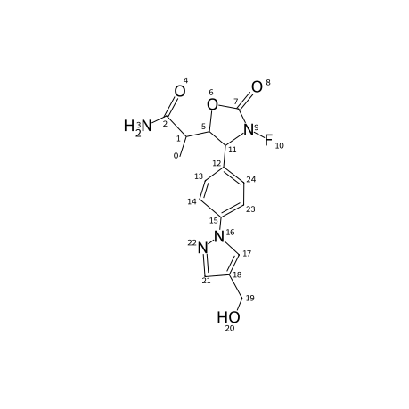 CC(C(N)=O)C1OC(=O)N(F)C1c1ccc(-n2cc(CO)cn2)cc1